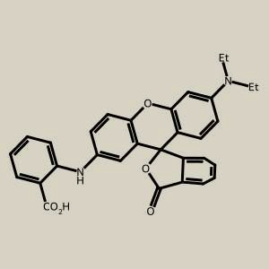 CCN(CC)c1ccc2c(c1)Oc1ccc(Nc3ccccc3C(=O)O)cc1C21OC(=O)c2ccccc21